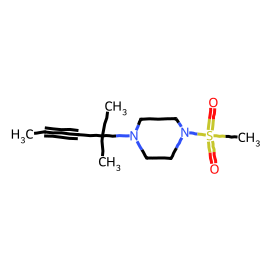 CC#CC(C)(C)N1CCN(S(C)(=O)=O)CC1